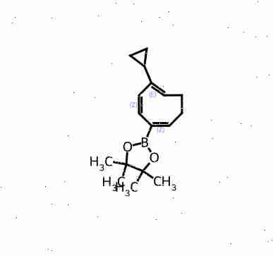 CC1(C)OB(C2=C/CC/C=C(C3CC3)/C=C\2)OC1(C)C